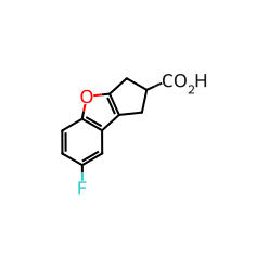 O=C(O)C1Cc2oc3ccc(F)cc3c2C1